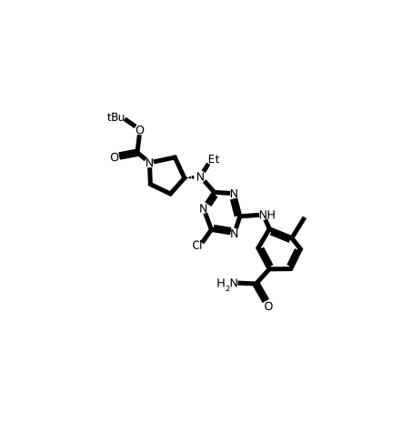 CCN(c1nc(Cl)nc(Nc2cc(C(N)=O)ccc2C)n1)[C@@H]1CCN(C(=O)OC(C)(C)C)C1